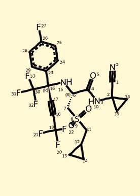 N#CC1(NC(=O)[C@H](CS(=O)(=O)CC2CC2)N[C@@](C#CC(F)(F)F)(c2ccc(F)cc2)C(F)(F)F)CC1